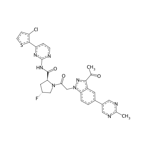 CC(=O)c1nn(CC(=O)N2C[C@H](F)C[C@H]2C(=O)Nc2nccc(-c3sccc3Cl)n2)c2ccc(-c3cnc(C)nc3)cc12